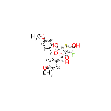 COc1ccc(COC(O)[C@@H]2S[C@H](O)[C@H](F)[C@@]2(O)OCc2ccc(OC)cc2)cc1